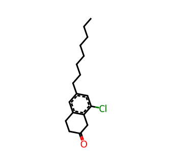 CCCCCCCCc1cc(Cl)c2c(c1)CCC(=O)C2